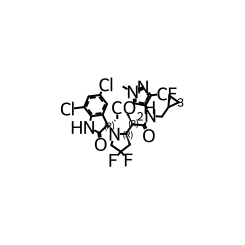 C[C@@H](C(=O)N(CC1CC1)c1cn(C)nc1C(F)(F)F)[C@H]1CC(F)(F)CN1[C@@]1(CC(=O)O)C(=O)Nc2c(Cl)cc(Cl)cc21